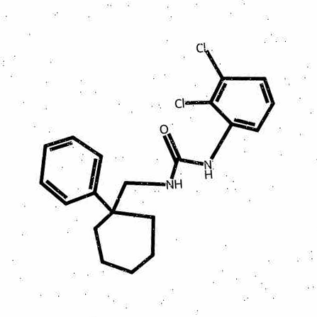 O=C(NCC1(c2ccccc2)CCCCC1)Nc1cccc(Cl)c1Cl